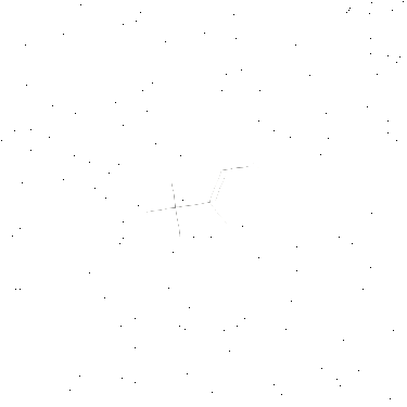 FC(=CS)C(F)(F)F